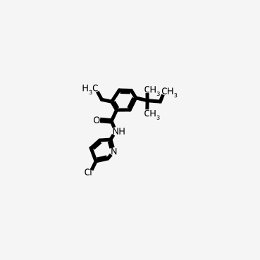 CCc1ccc(C(C)(C)CC)cc1C(=O)Nc1ccc(Cl)cn1